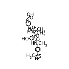 Cc1ncsc1-c1ccc([C@H](C)NC(=O)[C@@H]2C[C@@H](O)CN2C(=O)[C@@H](NC(=O)CC2CCN(CC(=O)O)CC2)C(C)(C)C)cc1